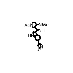 CNC1=C(C(=N)c2c[nH]c3cc(-c4cnn(C)c4)ccc23)CN(C(C)=O)CC1